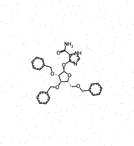 NC(=O)c1[nH]cnc1O[C@H]1O[C@H](COCc2ccccc2)[C@@H](OCc2ccccc2)[C@@H]1OCc1ccccc1